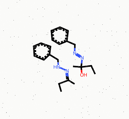 CCC(C)(O)N=NCc1ccccc1.CCC(C)=NNCc1ccccc1